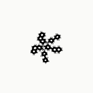 c1ccc(-c2ccc(N3c4cc5c(ccc6ccccc65)cc4B4c5cc6ccc7ccccc7c6cc5N(c5ccc(-c6ccccc6)cc5)c5cc(-c6ccc7ccccc7c6)cc3c54)cc2)cc1